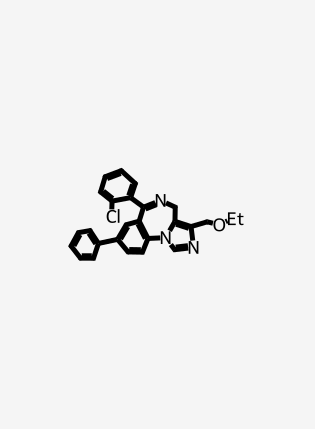 CCOCc1ncn2c1CN=C(c1ccccc1Cl)c1cc(-c3ccccc3)ccc1-2